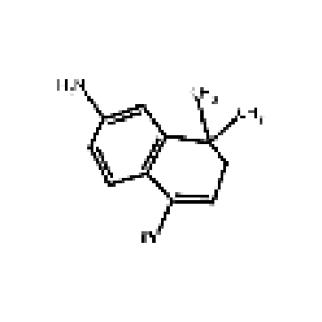 CC(C)C1=CCC(C)(C)c2cc(N)ccc21